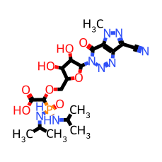 CC(C)NP(=O)(NC(C)C)C(OCC1OC(n2nnc3c(C#N)nn(C)c3c2=O)C(O)C1O)C(=O)O